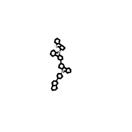 c1ccc2cc(-c3ccc(-n4c5ccccc5c5cc(-c6ccc7c(c6)c6ccccc6n7-c6cccc7c6sc6ccccc67)ccc54)cc3)ccc2c1